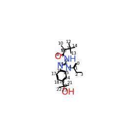 C=C(CC)n1c(NC(=O)[C@@H](C)C(C)(C)C)nc2ccc(C(C)(C)O)cc21